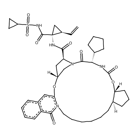 C=C[C@@H]1C[C@]1(NC(=O)[C@@H]1C[C@@H]2CN1C(=O)[C@H](C1CCCC1)NC(=O)O[C@@H]1CCC[C@H]1CCCCCCn1c(cc3ccccc3c1=O)O2)C(=O)NS(=O)(=O)C1CC1